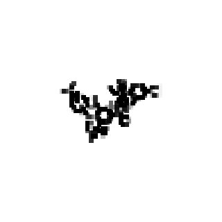 CCS(=O)(=O)c1ccc(Cl)cc1CNC(=O)c1cc(Cl)c(CN2CCN(C(C)C)CC2)c(C(F)(F)F)c1